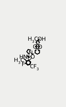 C[C@@H](NC(=O)[C@H]1CCCN1C(=O)[C@H]1CCCN(S(=O)(=O)N2CC(C)(O)C2)C1)c1ccc(C(F)(F)F)cc1F